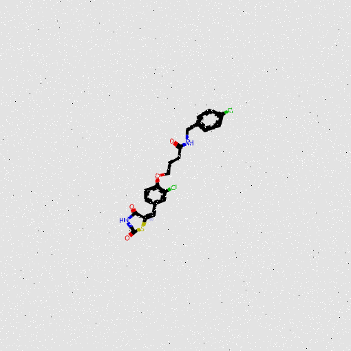 O=C(CCCOc1ccc(/C=C2/SC(=O)NC2=O)cc1Cl)NCc1ccc(Cl)cc1